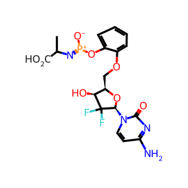 CC(/N=[P+](\[O-])Oc1ccccc1OC[C@H]1O[C@@H](n2ccc(N)nc2=O)C(F)(F)[C@H]1O)C(=O)O